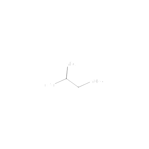 CCCC[CH]CCC(CCCC)CCCC